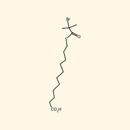 CC(C)(Br)C(=O)SCCCCCCCCCCC(=O)O